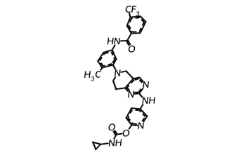 Cc1ccc(NC(=O)c2cccc(C(F)(F)F)c2)cc1N1CCc2nc(Nc3ccc(OC(=O)NC4CC4)nc3)ncc2C1